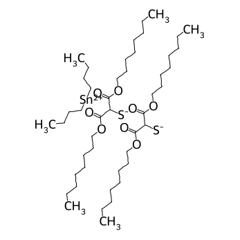 CCCCCCCCOC(=O)C([S-])C(=O)OCCCCCCCC.CCCCCCCCOC(=O)C([S-])C(=O)OCCCCCCCC.CCC[CH2][Sn+2][CH2]CCC